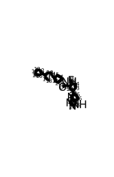 O=C(Nc1ccc(N2CCC(c3ccccc3)CC2)cc1)c1cc(-c2ccc3[nH]nnc3n2)ccc1F